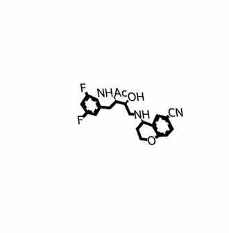 CC(=O)N[C@@H](Cc1cc(F)cc(F)c1)[C@@H](O)CN[C@H]1CCOc2ccc(C#N)cc21